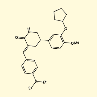 CCN(CC)c1ccc(/C=C2\C[C@@H](c3ccc(OC)c(OC4CCCC4)c3)CNC2=O)cc1